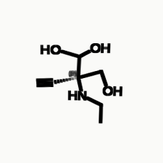 C#C[C@](CO)(NCC)C(O)O